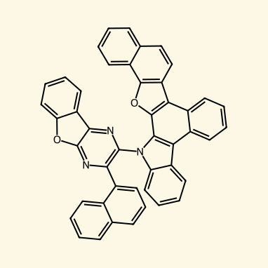 c1ccc2c(-c3nc4oc5ccccc5c4nc3-n3c4ccccc4c4c5ccccc5c5c6ccc7ccccc7c6oc5c43)cccc2c1